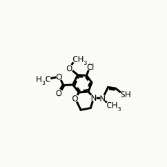 COC(=O)c1c(OC)c(Cl)cc2c1OCCN2N(C)/C=C\S